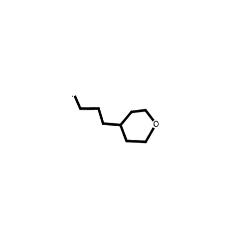 [CH2]CCCC1CCOCC1